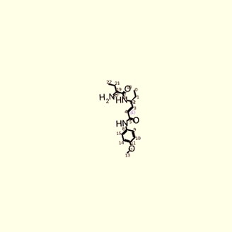 CC[C@@H](/C=C/C(=O)Nc1ccc(OC)cc1)NC(=O)[C@@H](N)CC